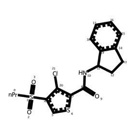 CCCS(=O)(=O)c1csc(C(=O)NC2CCc3ccccc32)c1Cl